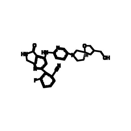 N#Cc1cccc(F)c1-c1cc(Nc2ccc(N3CC[C@]4(CC(CO)CO4)C3)cn2)c2c(n1)CNC2=O